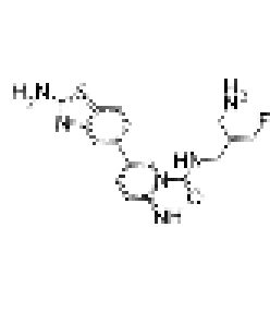 N=c1ccc(-c2ccc3sc(N)nc3c2)cn1C(=O)NC/C(=C/F)CN